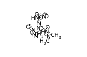 CCN(CC)C(C)CNC(=O)c1cc(-c2cnn3ccc(-c4cccs4)nc23)nc(N2CC(NS(=O)(=O)Cc3ccon3)C2)c1